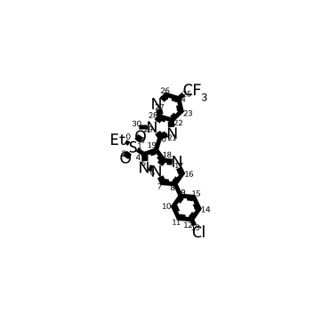 CCS(=O)(=O)c1nn2cc(-c3ccc(Cl)cc3)cnc2c1-c1nc2cc(C(F)(F)F)cnc2n1C